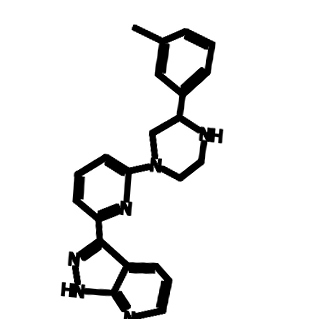 Cc1cccc(C2CN(c3cccc(-c4n[nH]c5ncccc45)n3)CCN2)c1